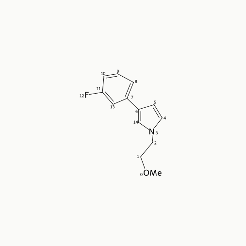 COCCn1ccc(-c2cccc(F)c2)c1